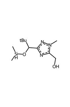 Cn1nc(C(O[SiH](C)C)C(C)(C)C)nc1CO